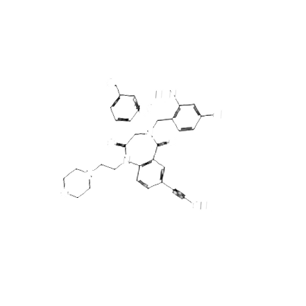 CC#Cc1ccc2c(c1)C(=O)N([C@H](C)c1ccc(Cl)cc1N)[C@@H](c1ccc(Cl)cc1)C(=O)N2CCN1CCOCC1